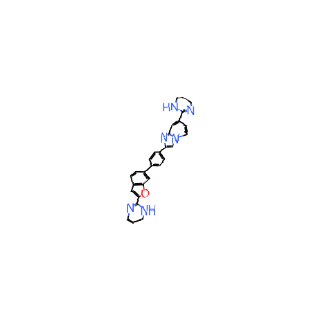 c1cn2cc(-c3ccc(-c4ccc5cc(C6=NCCCN6)oc5c4)cc3)nc2cc1C1=NCCCN1